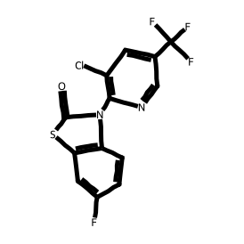 O=c1sc2cc(F)ccc2n1-c1ncc(C(F)(F)F)cc1Cl